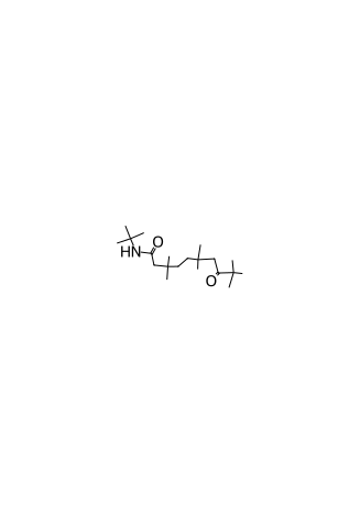 CC(C)(CCC(C)(C)CC(=O)C(C)(C)C)CC(=O)NC(C)(C)C